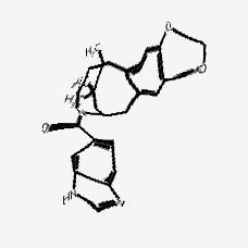 CC12CCN(C(=O)c3ccc4nc[nH]c4c3)C(Cc3cc4c(cc31)OCO4)C2(C)C